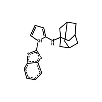 C1=C[SH](c2nc3ccccc3s2)C(NC23CC4CC(CC(C4)C2)C3)=C1